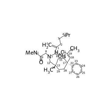 C=C(CCC(C)C)C(O)N(CC(=O)NC)C[C@]1(C)CC[C@](C=C(C)C)(c2ccccc2)CC1